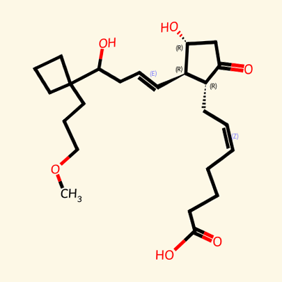 COCCCC1(C(O)C/C=C/[C@H]2[C@H](O)CC(=O)[C@@H]2C/C=C\CCCC(=O)O)CCC1